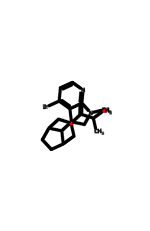 CC(C)C(=O)N1CC2CCC(C1)C2C1CN(C)c2nccc(Br)c21